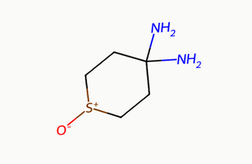 NC1(N)CC[S+]([O-])CC1